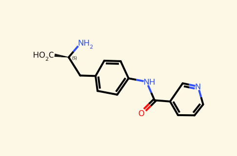 N[C@@H](Cc1ccc(NC(=O)c2cccnc2)cc1)C(=O)O